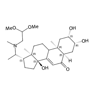 COC(CN(C)C(C)[C@H]1CC[C@@]2(O)C3=CC(=O)[C@@H]4C[C@@H](O)[C@@H](O)C[C@]4(C)C3CC[C@]12C)OC